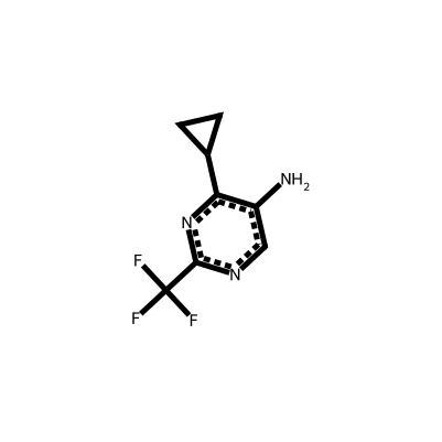 Nc1cnc(C(F)(F)F)nc1C1CC1